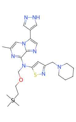 Cc1cn2c(-c3cn[nH]c3)cnc2c(N(COCC[Si](C)(C)C)c2cc(CN3CCCCC3)ns2)n1